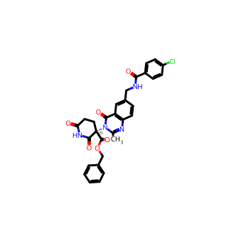 Cc1nc2ccc(CNC(=O)c3ccc(Cl)cc3)cc2c(=O)n1[C@@]1(C(=O)OCc2ccccc2)CCC(=O)NC1=O